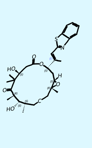 C/C(=C\c1nc2ccccc2s1)[C@@H]1C[C@@H]2O[C@]2(C)CCC[C@H](C)[C@H](O)[C@@H](C)C(=O)C(C)(C)[C@@H](O)CC(=O)O1